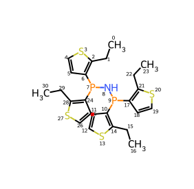 CCc1sccc1P(NP(c1ccsc1CC)c1ccsc1CC)c1ccsc1CC